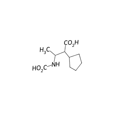 CC(NC(=O)O)C(C(=O)O)C1CCCC1